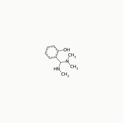 CNC(c1ccccc1O)N(C)C